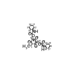 CCC1C(=O)N(COC(=O)Nc2ccccc2)C(=O)N(COC(=O)Nc2ccccc2)C1=O